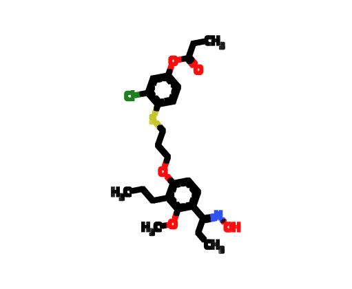 CCCc1c(OCCCSc2ccc(OC(=O)CC)cc2Cl)ccc(C(CC)=NO)c1OC